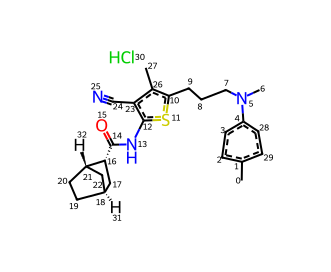 Cc1ccc(N(C)CCCc2sc(NC(=O)[C@@H]3C[C@H]4CC[C@H]3C4)c(C#N)c2C)cc1.Cl